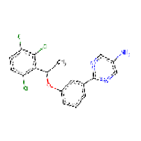 CC(Oc1cccc(-c2ncc(N)cn2)c1)c1c(Cl)ccc(F)c1Cl